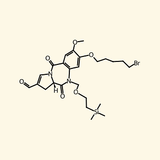 COc1cc2c(cc1OCCCCCBr)N(COCC[Si](C)(C)C)C(=O)[C@@H]1CC(C=O)=CN1C2=O